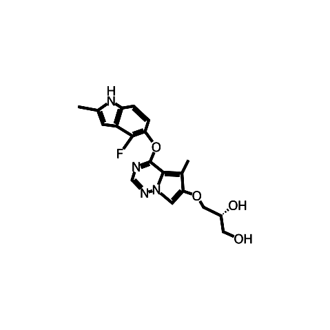 Cc1cc2c(F)c(Oc3ncnn4cc(OC[C@H](O)CO)c(C)c34)ccc2[nH]1